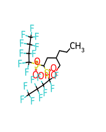 CCCC(CO)CC(S(=O)(=O)C(F)(F)C(F)(F)C(F)(F)C(F)(F)F)S(=O)(=O)C(F)(F)C(F)(F)C(F)(F)C(F)(F)F